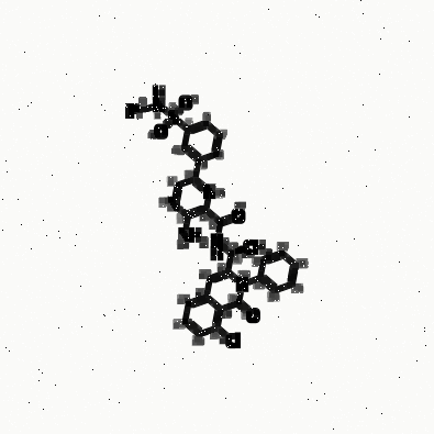 CC(C)NS(=O)(=O)c1cccc(-c2cnc(N)c(C(=O)N[C@@H](C)c3cc4cccc(Cl)c4c(=O)n3-c3ccccc3)n2)c1